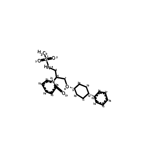 CS(=O)(=O)NCC(CO[C@H]1CC[C@@H](c2ccccc2)CC1)n1ccccc1=O